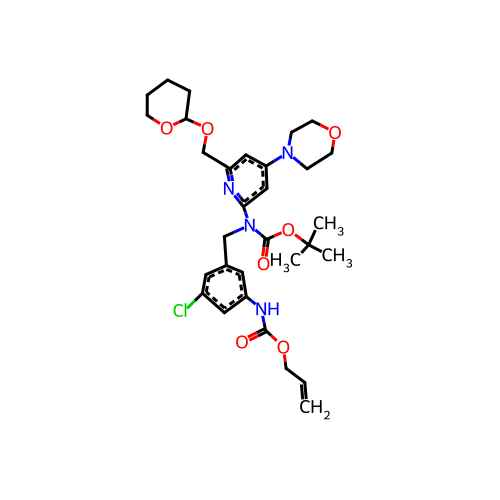 C=CCOC(=O)Nc1cc(Cl)cc(CN(C(=O)OC(C)(C)C)c2cc(N3CCOCC3)cc(COC3CCCCO3)n2)c1